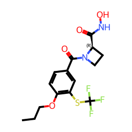 CCCOc1ccc(C(=O)N2CC[C@@H]2C(=O)NO)cc1SC(F)(F)F